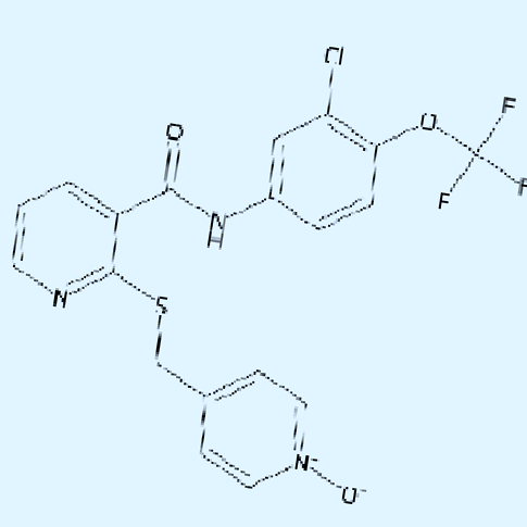 O=C(Nc1ccc(OC(F)(F)F)c(Cl)c1)c1cccnc1SCc1cc[n+]([O-])cc1